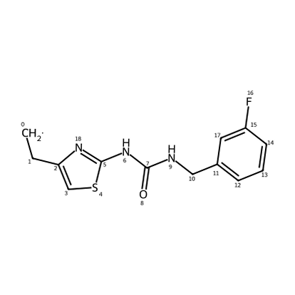 [CH2]Cc1csc(NC(=O)NCc2cccc(F)c2)n1